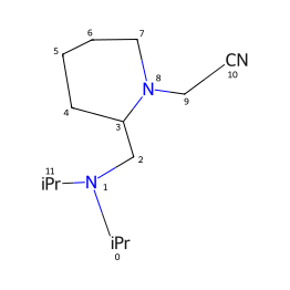 CC(C)N(CC1CCCCN1CC#N)C(C)C